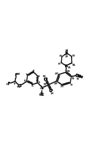 CCN(c1cccc(OC(F)F)c1)S(=O)(=O)c1ccc(OC)c(N2CCNCC2)c1